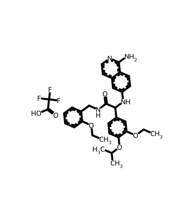 CCOc1ccccc1CNC(=O)C(Nc1ccc2c(N)nccc2c1)c1ccc(OC(C)C)c(OCC)c1.O=C(O)C(F)(F)F